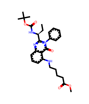 CC[C@H](NC(=O)OC(C)(C)C)c1nc2cccc(NCCCCC(=O)OC)c2c(=O)n1-c1ccccc1